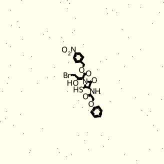 O=C(COc1ccccc1)NC1C(=O)N(/C(C(=O)OCc2ccc([N+](=O)[O-])cc2)=C(\O)CBr)C1S